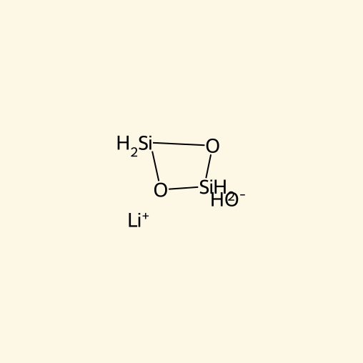 O1[SiH2]O[SiH2]1.[Li+].[OH-]